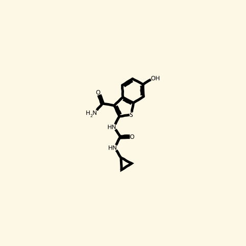 NC(=O)c1c(NC(=O)NC2CC2)sc2cc(O)ccc12